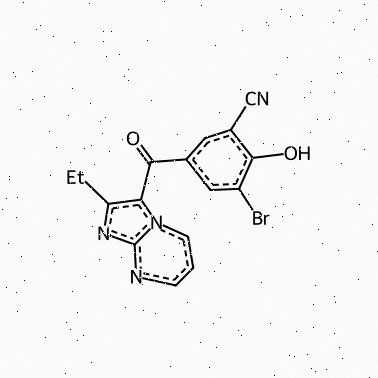 CCc1nc2ncccn2c1C(=O)c1cc(Br)c(O)c(C#N)c1